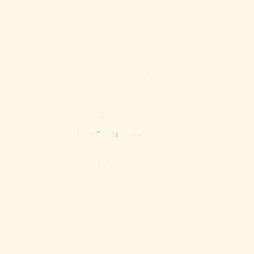 C=CCN(C(=O)OCc1ccccc1)[C@H](C)C(=O)O